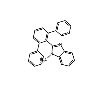 Cn1c(-c2c(-c3ccccc3)cccc2-c2ccccc2)nc2ccccc21